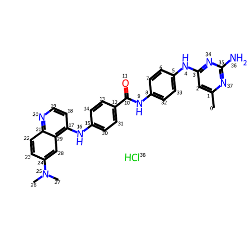 Cc1cc(Nc2ccc(NC(=O)c3ccc(Nc4ccnc5ccc(N(C)C)cc45)cc3)cc2)nc(N)n1.Cl